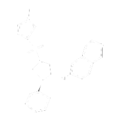 Cn1cnc(S(=O)(=O)N2C[C@H](Nc3ccc4cnccc4c3)[C@@H](c3ccccc3)C2)c1